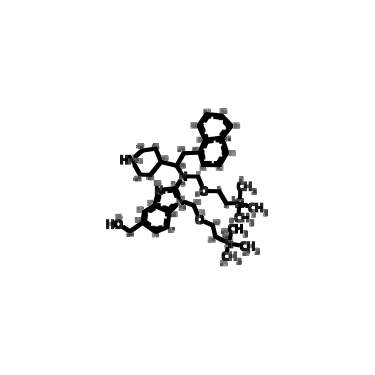 C[Si](C)(C)CCOCN(c1nc2cc(CO)ccc2n1COCC[Si](C)(C)C)C(Cc1cccc2ccccc12)C1CCNCC1